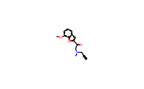 C#CCN(C)CC(=O)c1cc2cccc(OC)c2o1